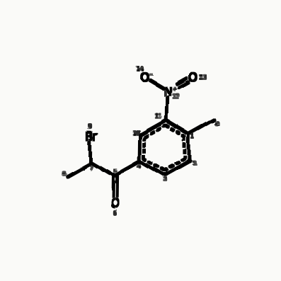 Cc1ccc(C(=O)C(C)Br)cc1[N+](=O)[O-]